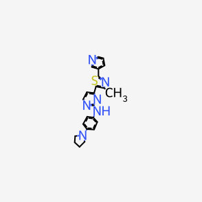 Cc1nc(-c2cccnc2)sc1-c1ccnc(Nc2ccc(N3CCCC3)cc2)n1